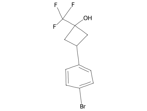 OC1(C(F)(F)F)CC(c2ccc(Br)cc2)C1